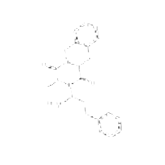 CCOC(=O)[C@H](CCc1ccccc1)N1C(=O)C2Cc3ccccc3CN2C(=O)[C@@H]1C